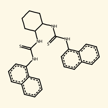 S=C(Nc1cccc2ccccc12)NC1CCCCC1NC(=S)Nc1cccc2ccccc12